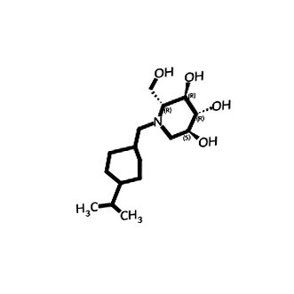 CC(C)C1CCC(CN2C[C@H](O)[C@@H](O)[C@H](O)[C@H]2CO)CC1